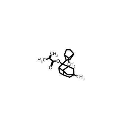 C=C(C)C(=O)OC1(C2CC3CCC2C3C)C2CC3CC1CC(C)(C3)C2